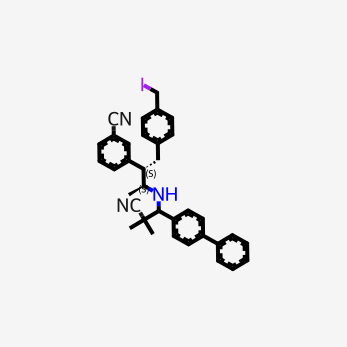 C[C@H](NC(c1ccc(-c2ccccc2)cc1)C(C)(C)C#N)[C@@H](Cc1ccc(CI)cc1)c1cccc(C#N)c1